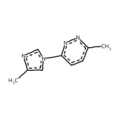 Cc1cn(-c2ccc(C)nn2)cn1